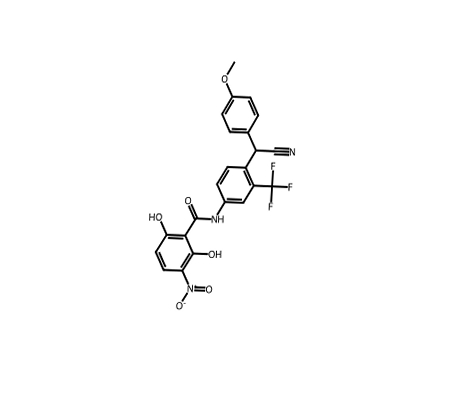 COc1ccc(C(C#N)c2ccc(NC(=O)c3c(O)ccc([N+](=O)[O-])c3O)cc2C(F)(F)F)cc1